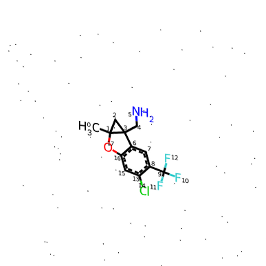 CC12CC1(CN)c1cc(C(F)(F)F)c(Cl)cc1O2